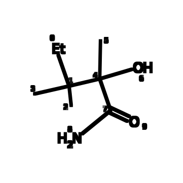 CCC(C)(C)C(C)(O)C(N)=O